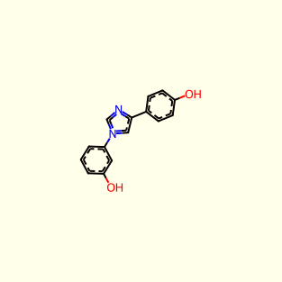 Oc1ccc(-c2cn(-c3cccc(O)c3)cn2)cc1